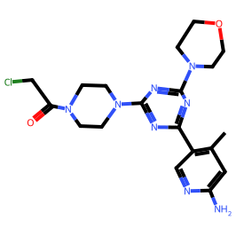 Cc1cc(N)ncc1-c1nc(N2CCOCC2)nc(N2CCN(C(=O)CCl)CC2)n1